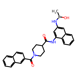 CB(O)Nc1cc(NC(=O)C2CCN(C(=O)c3ccc4ccccc4c3)CC2)c2ccccc2c1